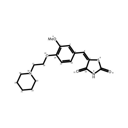 COc1cc(/C=C2/SC(=O)NC2=O)ccc1OCCN1CCCCC1